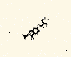 NC/C(=C/F)COc1ccc2c(c1)CN(C1CC1)C2=O